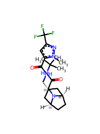 Cn1nc(C(F)(F)F)cc1C(=O)NC[C@@H]1C[C@H]2CC[C@@H](C1)N2CC(=O)NC(C)(C)C